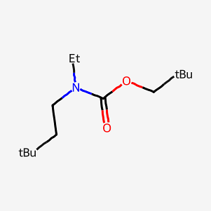 CCN(CCC(C)(C)C)C(=O)OCC(C)(C)C